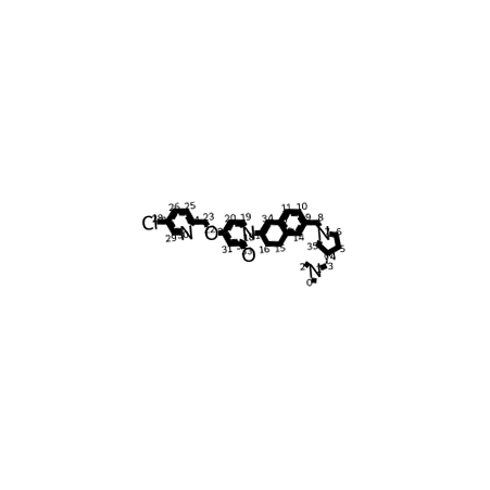 CN(C)C[C@H]1CCN(Cc2ccc3c(c2)CCC(n2ccc(OCc4ccc(Cl)cn4)cc2=O)=C3)C1